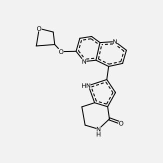 O=C1NCCc2[nH]c(-c3ccnc4ccc(OC5COC5)nc34)cc21